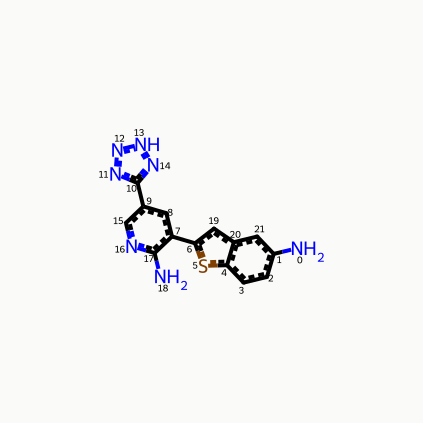 Nc1ccc2sc(-c3cc(-c4nn[nH]n4)cnc3N)cc2c1